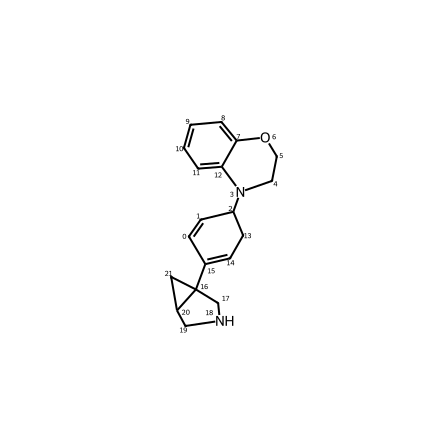 C1=CC(N2CCOc3ccccc32)CC=C1C12CNCC1C2